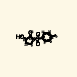 Cc1ccc(S(=O)(=O)N2CCC(O)C2=O)cc1